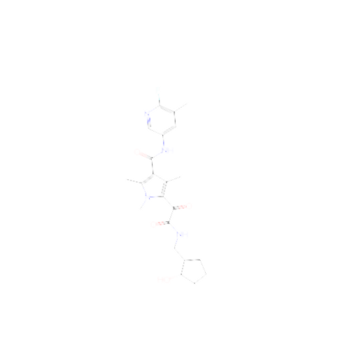 Cc1cc(NC(=O)c2c(C)c(C(=O)C(=O)NCC3CCC[C@@H]3O)n(C)c2C)cnc1F